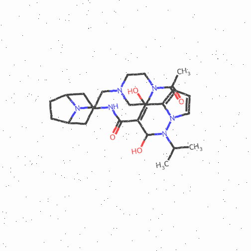 CC(=O)N1CCN(CCN2C3CCC2CC(NC(=O)C2=C(O)c4cccn4N(C(C)C)C2O)C3)CC1